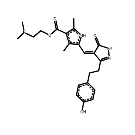 Cc1[nH]c(C=C2C(=O)NN=C2CCc2ccc(O)cc2)c(C)c1C(=O)OCCN(C)C